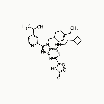 CCC1=CCC(Cn2c(-c3cc(C(C)C)ccn3)nc3nc(-c4noc(=O)[nH]4)nc(NCCC4CCC4)c32)CC1